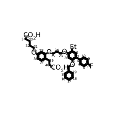 CCc1cc(-c2ccc(F)cc2)c(OCc2ccccc2)cc1OCCCOc1cc(OCCCCC(=O)O)ccc1CCC(=O)O